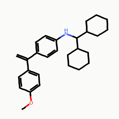 C=C(c1ccc(NC(C2CCCCC2)C2CCCCC2)cc1)c1ccc(OC)cc1